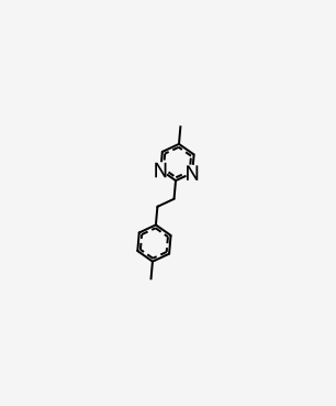 Cc1ccc(CCc2ncc(C)cn2)cc1